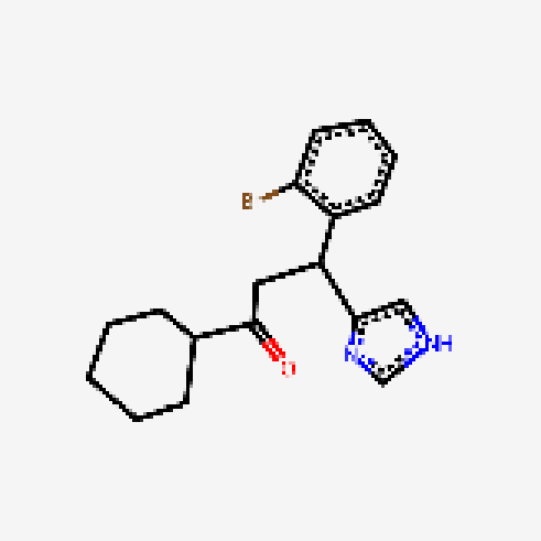 O=C(CC(c1c[nH]cn1)c1ccccc1Br)C1CCCCC1